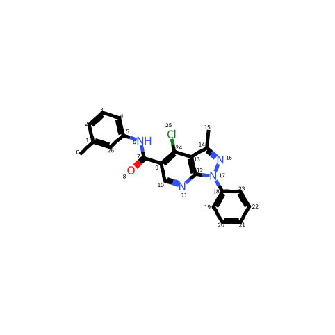 Cc1cccc(NC(=O)c2cnc3c(c(C)nn3-c3ccccc3)c2Cl)c1